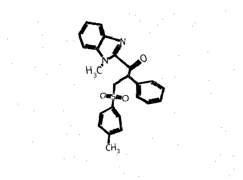 Cc1ccc(S(=O)(=O)CC(C(=O)c2nc3ccccc3n2C)c2ccccc2)cc1